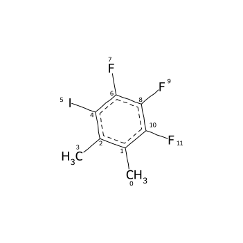 Cc1c(C)c(I)c(F)c(F)c1F